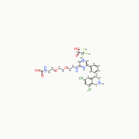 CN1Cc2c(Cl)cc(Cl)cc2[C@H](c2cccc(-c3cncc(NCCOCCOCCNC(=O)O)n3)c2)C1.O=C(O)C(F)(F)F